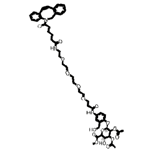 COC(=O)C1O[C@@H](Oc2ccc(NC(=O)CCOCCOCCOCCOCCNC(=O)CCCCC(=O)N3Cc4ccccc4C#Cc4ccccc43)cc2CO)C(OC(C)=O)C(OC(C)=O)[C@@H]1O